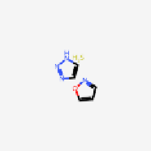 S.c1c[nH]nn1.c1cnoc1